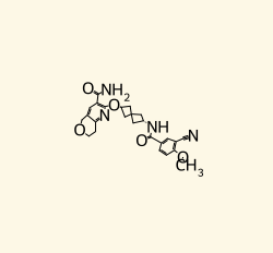 COc1ccc(C(=O)N[C@H]2CC3(C2)C[C@H](Oc2nc4c(cc2C(N)=O)COCC4)C3)cc1C#N